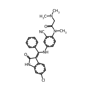 CN(C)CC(=O)N(C)c1ccc(NC(=C2C(=O)Nc3cc(Cl)ccc32)c2ccccc2)cc1C#N